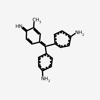 CC1=CC(=C(c2ccc(N)cc2)c2ccc(N)cc2)C=CC1=N